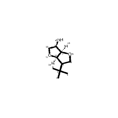 CC(C)(C)C1CO[C@@H]2[C@H](O)CO[C@H]12